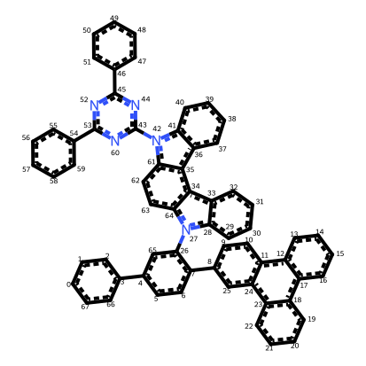 c1ccc(-c2ccc(-c3ccc4c5ccccc5c5ccccc5c4c3)c(-n3c4ccccc4c4c5c6ccccc6n(-c6nc(-c7ccccc7)nc(-c7ccccc7)n6)c5ccc43)c2)cc1